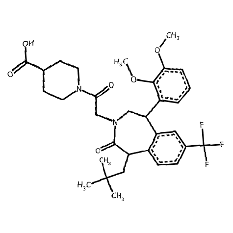 COc1cccc(C2CN(CC(=O)N3CCC(C(=O)O)CC3)C(=O)C(CC(C)(C)C)c3ccc(C(F)(F)F)cc32)c1OC